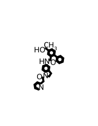 CC(O)c1ccc(-c2ccccc2)c(C(=O)Nc2ccc3c(c2)CCN3C(=O)Cc2ccccn2)c1